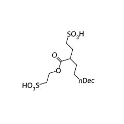 CCCCCCCCCCCCC(CCS(=O)(=O)O)C(=O)OCCS(=O)(=O)O